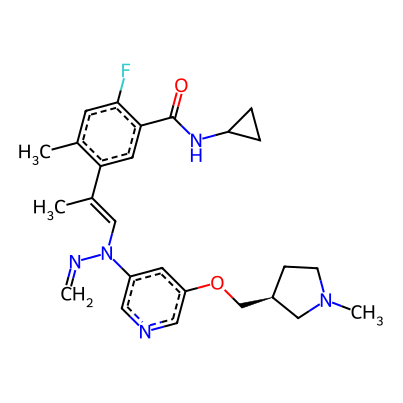 C=NN(/C=C(\C)c1cc(C(=O)NC2CC2)c(F)cc1C)c1cncc(OC[C@H]2CCN(C)C2)c1